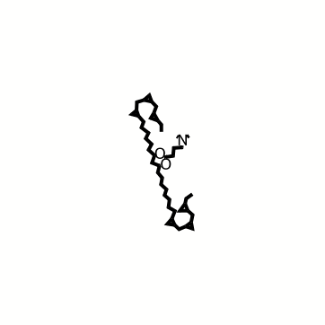 CCC1CC1CC1CC1CC1CC1CCCCCCCCC(CCCCCCCCC1CC1CC1CC1CC1CC1CC)OC(=O)CCCN(C)C